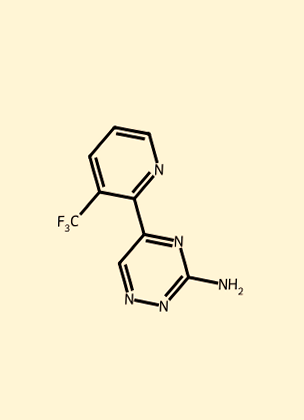 Nc1nncc(-c2ncccc2C(F)(F)F)n1